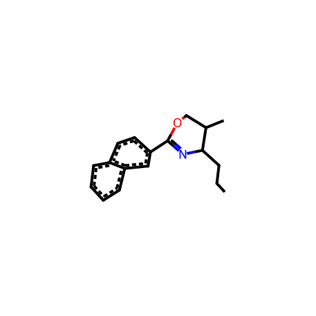 CCCC1N=C(c2ccc3ccccc3c2)OCC1C